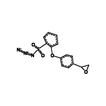 [N-]=[N+]=NS(=O)(=O)c1ccccc1Oc1ccc(C2CO2)cc1